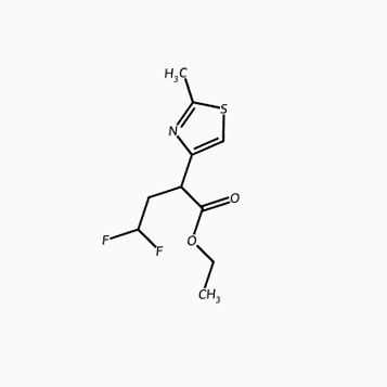 CCOC(=O)C(CC(F)F)c1csc(C)n1